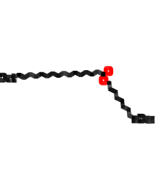 CCCCCCCCC=CCCCCCCCCCCCCCC(=O)OCCCCCCCCCCCCCCCCCC